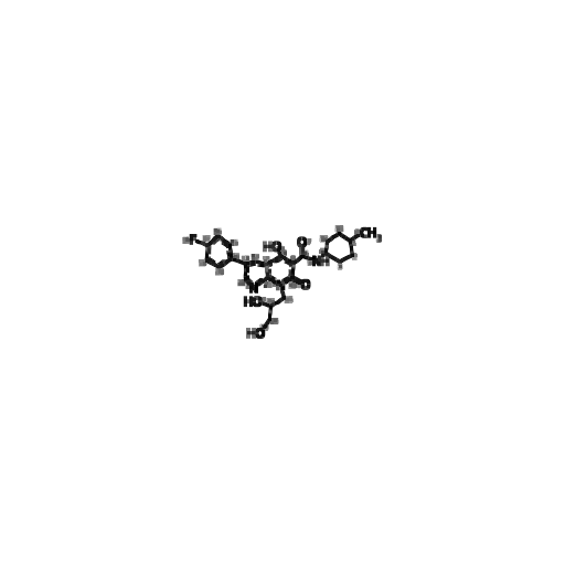 CC1CCC(NC(=O)c2c(O)c3cc(-c4ccc(F)cc4)cnc3n(CC(O)CO)c2=O)CC1